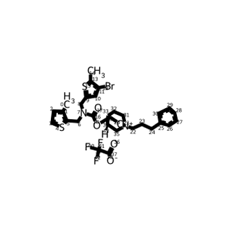 Cc1ccsc1CN(Cc1cc(Br)c(C)s1)C(=O)O[C@H]1C[N+]2(CCCc3ccccc3)CCC1CC2.O=C([O-])C(F)(F)F